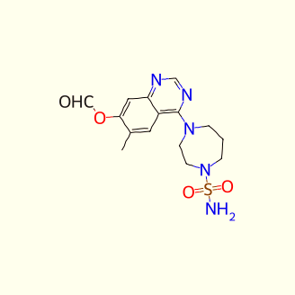 Cc1cc2c(N3CCCN(S(N)(=O)=O)CC3)ncnc2cc1OC=O